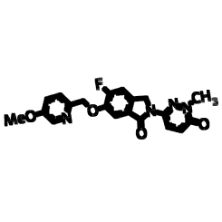 COc1ccc(COc2cc3c(cc2F)CN(c2ccc(=O)n(C)n2)C3=O)nc1